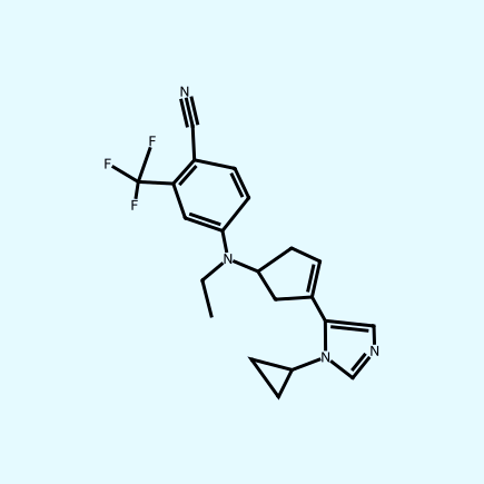 CCN(c1ccc(C#N)c(C(F)(F)F)c1)C1CC=C(c2cncn2C2CC2)C1